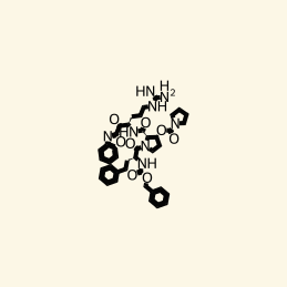 N=C(N)NCCC[C@H](NC(=O)[C@@H]1[C@@H](OC(=O)N2CCCC2)CCN1C(=O)[C@@H](CCc1ccccc1)NC(=O)OCc1ccccc1)C(=O)c1nc2ccccc2o1